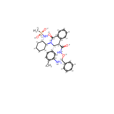 Cc1ccc([C@H]2[C@H](C(=O)NOCc3ccccc3)c3ccccc3C(=O)N2[C@H]2CCCC[C@@H]2NS(C)(=O)=O)cc1N